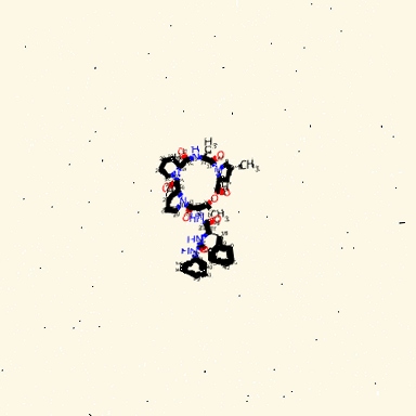 CC1OC(=O)[C@@H]2C[C@@H](C)CN2C(=O)[C@H](C)NC(=O)[C@@H]2CCCCN2C(=O)[C@@H]2CCCN2C(=O)[C@H]1NC(=O)[C@H](Cc1ccccc1)NC(=O)Nc1ccccc1